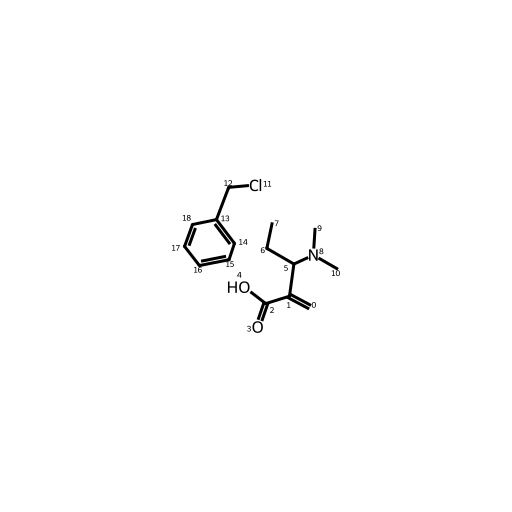 C=C(C(=O)O)C(CC)N(C)C.ClCc1ccccc1